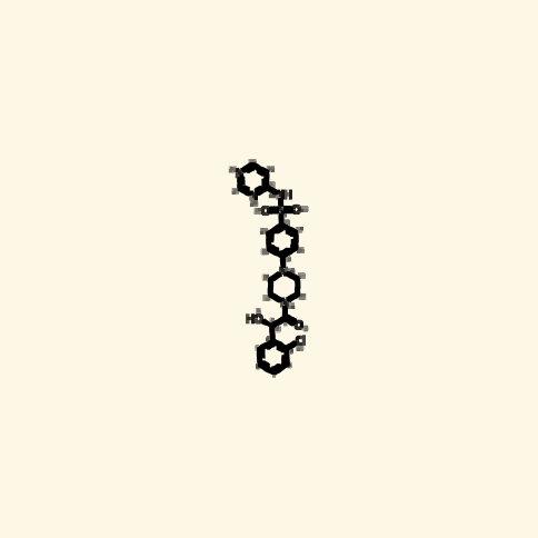 O=C([C@H](O)c1ccccc1Cl)N1CCN(c2ccc(S(=O)(=O)Nc3ccncn3)cc2)CC1